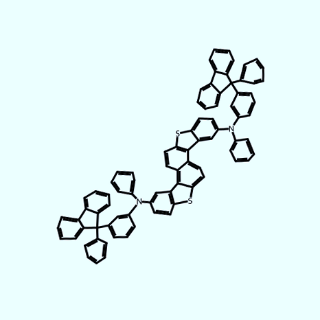 c1ccc(N(c2cccc(C3(c4ccccc4)c4ccccc4-c4ccccc43)c2)c2ccc3sc4ccc5c(ccc6sc7ccc(N(c8ccccc8)c8cccc(C9(c%10ccccc%10)c%10ccccc%10-c%10ccccc%109)c8)cc7c65)c4c3c2)cc1